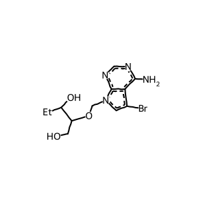 CCC(O)C(CO)OCn1cc(Br)c2c(N)ncnc21